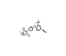 CC[C@H]1NC(=O)N(c2ccc(Oc3ccc(C#N)cc3C(C)(C)C)nc2)C1=O